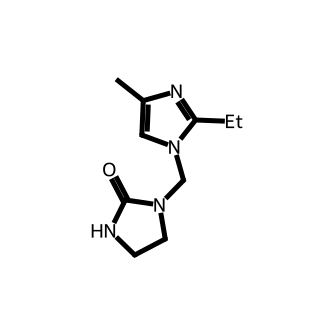 CCc1nc(C)cn1CN1CCNC1=O